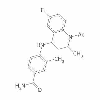 CC(=O)N1c2ccc(F)cc2C(Nc2ccc(C(N)=O)cc2C)CC1C